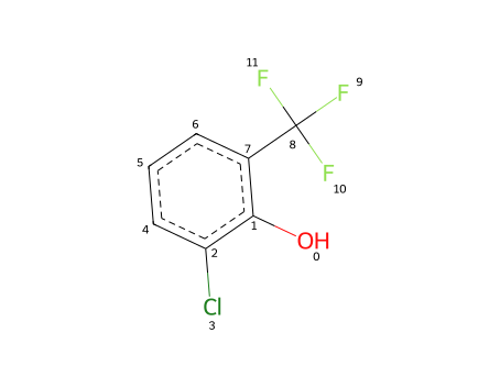 Oc1c(Cl)cccc1C(F)(F)F